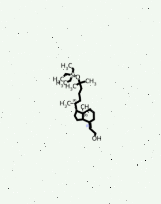 CC[Si](CC)(CC)OC(C)(C)CCC[C@@H](C)C1CCC2/C(=C/CO)CCC[C@@]21C